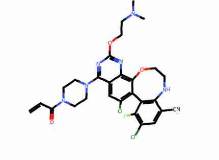 C=CC(=O)N1CCN(c2nc(OCCN(C)C)nc3c4c(c(Cl)cc23)-c2c(F)c(Cl)cc(C#N)c2NCCO4)CC1